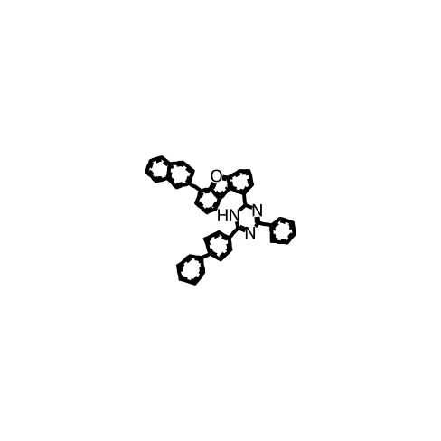 c1ccc(C2=NC(c3cccc4oc5c(-c6ccc7ccccc7c6)cccc5c34)NC(c3ccc(-c4ccccc4)cc3)=N2)cc1